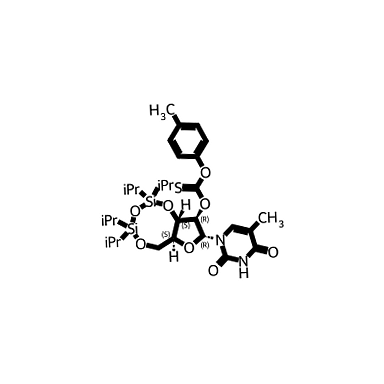 Cc1ccc(OC(=S)O[C@@H]2[C@H]3O[Si](C(C)C)(C(C)C)O[Si](C(C)C)(C(C)C)OC[C@@H]3O[C@H]2n2cc(C)c(=O)[nH]c2=O)cc1